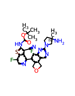 CC(C)(C)OC(=O)Nc1sc2c(F)cnc(-c3c4c(c5cnc(N6CC[C@](C)(N)C6)nc5c3F)COC4)c2c1C#N